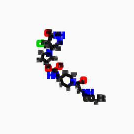 CCOC(=O)NCC(=O)N1CCC(NC(=O)O[C@@H]2CCN(c3cn[nH]c(=O)c3Cl)C2)CC1